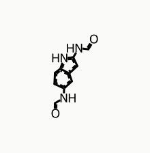 O=CNc1ccc2[nH]c(NC=O)cc2c1